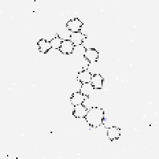 C1=C\c2ccc3ccc(-c4ccc(-c5cccc(-c6nc7ccccc7c7c6ccc6c8ccccc8oc67)c5)c5ccccc45)nc3c2CC\C=C/1c1ccccc1